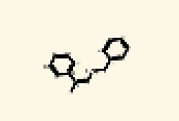 CC(=CNCc1ccccc1)c1ccccc1